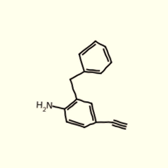 C#Cc1ccc(N)c(Cc2ccccc2)c1